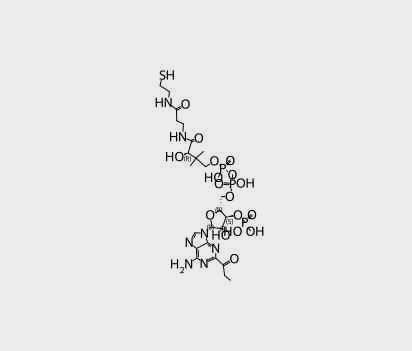 CCC(=O)c1nc(N)c2ncn([C@@H]3O[C@H](COP(=O)(O)OP(=O)(O)OCC(C)(C)[C@@H](O)C(=O)NCCC(=O)NCCS)[C@@H](OP(=O)(O)O)[C@H]3O)c2n1